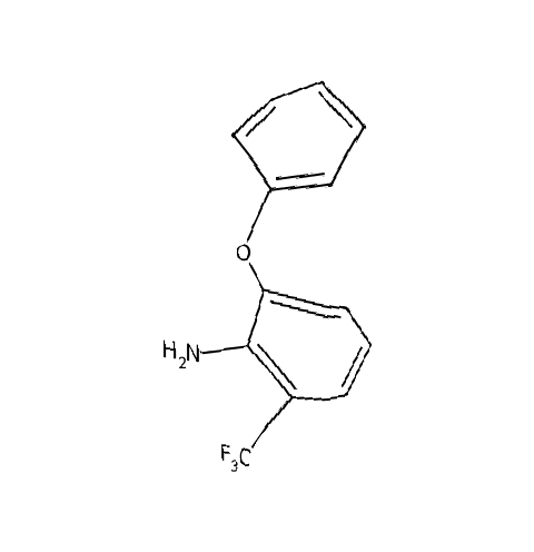 Nc1c(Oc2ccccc2)cccc1C(F)(F)F